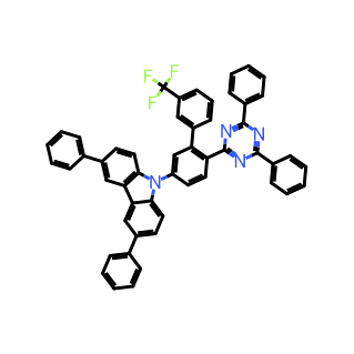 FC(F)(F)c1cccc(-c2cc(-n3c4ccc(-c5ccccc5)cc4c4cc(-c5ccccc5)ccc43)ccc2-c2nc(-c3ccccc3)nc(-c3ccccc3)n2)c1